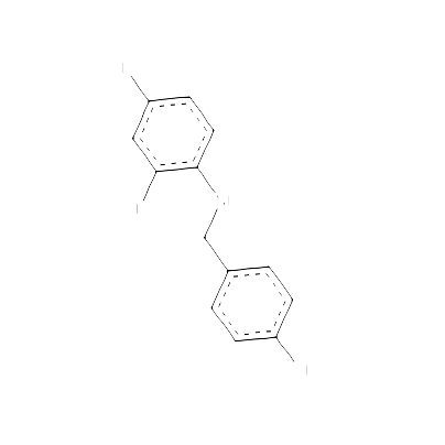 Cc1ccc(CNc2ccc(F)cc2F)cc1